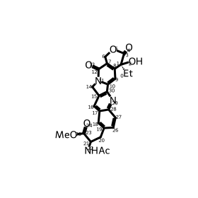 CC[C@@]1(O)C(=O)OCc2c1cc1n(c2=O)Cc2cc3cc(CC(NC(C)=O)C(=O)OC)ccc3nc2-1